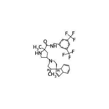 C[C@H]1CN(C2CNC(C)(C(=O)NCc3cc(C(F)(F)F)cc(C(F)(F)F)c3)C2)CC[C@@]12C=CC1C=CC=CC12